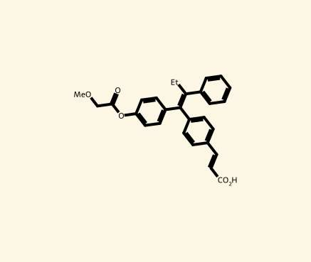 CCC(=C(c1ccc(C=CC(=O)O)cc1)c1ccc(OC(=O)COC)cc1)c1ccccc1